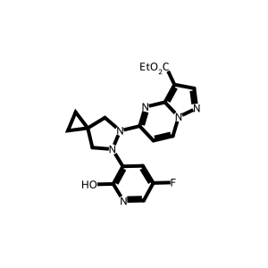 CCOC(=O)c1cnn2ccc(N3CC4(CC4)CN3c3cc(F)cnc3O)nc12